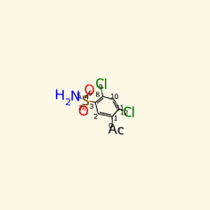 CC(=O)c1cc(S(N)(=O)=O)c(Cl)cc1Cl